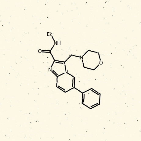 CCNC(=O)c1nc2ccc(-c3ccccc3)cn2c1CN1CCOCC1